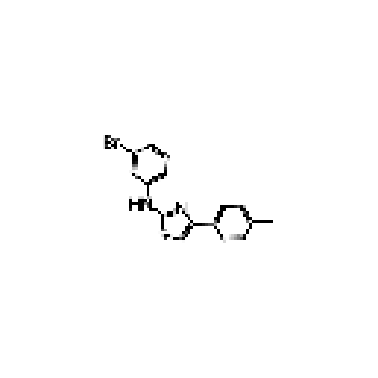 Cc1ccc(-c2csc(Nc3cccc(Br)c3)n2)cc1